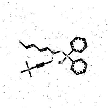 CC(C)(C)[Si](O[C@@H](/C=C/C=C/I)CC#C[Si](C)(C)C)(c1ccccc1)c1ccccc1